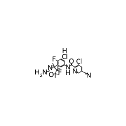 CC1(C)OC(N)=N[C@](C)(c2cc(NC(=O)c3ncc(C#N)cc3Cl)ccc2F)C1(F)F.Cl